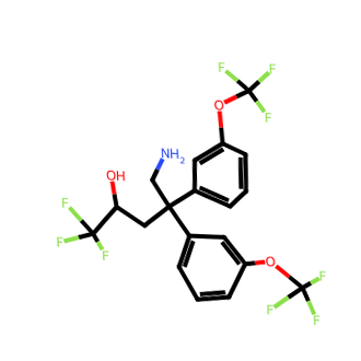 NCC(CC(O)C(F)(F)F)(c1cccc(OC(F)(F)F)c1)c1cccc(OC(F)(F)F)c1